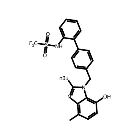 CCCCc1nc2c(C)ccc(O)c2n1Cc1ccc(-c2ccccc2NS(=O)(=O)C(F)(F)F)cc1